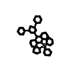 c1ccc(-c2cc(-c3ccccc3)cc(-c3c4ccccc4c([Si](c4ccccc4)(c4ccccc4)c4ccccc4)c4ccccc34)c2)cc1